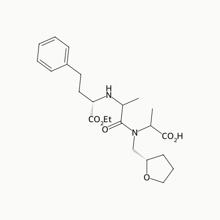 CCOC(=O)[C@H](CCc1ccccc1)NC(C)C(=O)N(C[C@@H]1CCCO1)C(C)C(=O)O